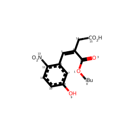 CCC(C)OC(=O)C(=Cc1cc(O)ccc1[N+](=O)[O-])CC(=O)O